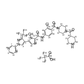 Cn1c(-c2cn(-c3cnccn3)nc2C(F)(F)F)cnc1C(=O)Nc1ccc(C(=O)N2CCN(C(=O)C3CCNCC3)CC2)c(Cl)c1.O=C(O)C(F)(F)F